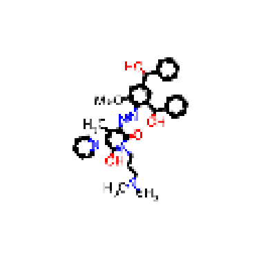 COc1cc(C(O)c2ccccc2)cc(C(O)c2ccccc2)c1/N=N/c1c(C)c(-[n+]2ccccc2)c(O)n(CCCN(C)C)c1=O